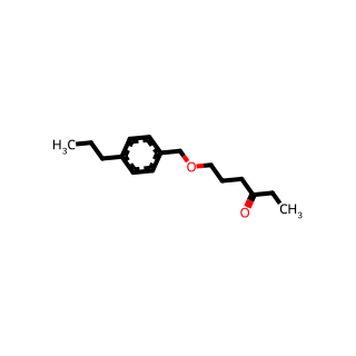 CCCc1ccc(COCCCC(=O)CC)cc1